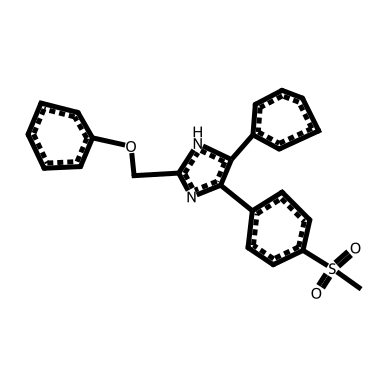 CS(=O)(=O)c1ccc(-c2nc(COc3ccccc3)[nH]c2-c2ccccc2)cc1